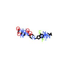 NC1(Cn2nc3c(F)c4c(c(F)c3n2)CC(CN2CCC3(CC2)CN(c2cnc5c(n2)NC(=O)CO5)C(=O)O3)C4)CC1